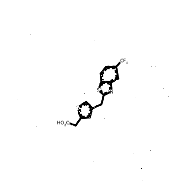 O=C(O)Cc1cc(Cc2nc3cc(C(F)(F)F)ccc3s2)cs1